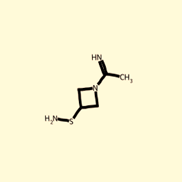 CC(=N)N1CC(SN)C1